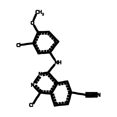 COc1ccc(Nc2nnc(Cl)c3ccc(C#N)cc23)cc1Cl